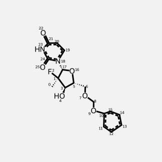 C[C@@]1(F)[C@H](O)[C@@H](COCOc2ccccc2)O[C@H]1n1ccc(=O)[nH]c1=O